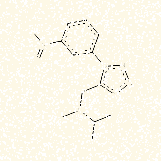 CC(C)N(C)Cc1nnnn1-c1cccc([N+](=O)[O-])c1